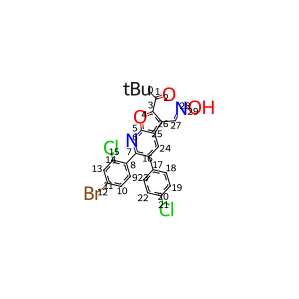 CC(C)(C)C(=O)c1oc2nc(-c3ccc(Br)cc3Cl)c(-c3ccc(Cl)cc3)cc2c1/C=N/O